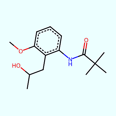 COc1cccc(NC(=O)C(C)(C)C)c1CC(C)O